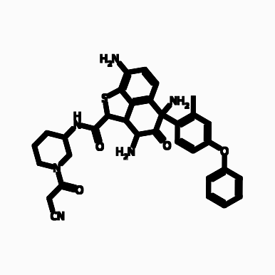 Cc1cc(Oc2ccccc2)ccc1C1(N)C(=O)C(N)C2c3c1ccc(N)c3SC2C(=O)NC1CCCN(C(=O)CC#N)C1